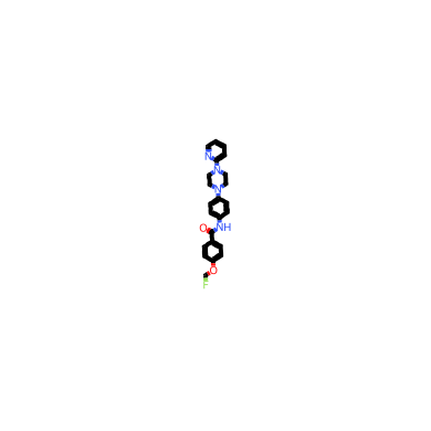 O=C(Nc1ccc(N2CCN(c3ccccn3)CC2)cc1)c1ccc(OCF)cc1